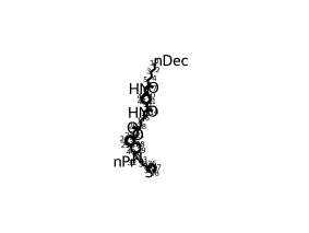 CCCCCCCCCCCCCCCC(=O)Nc1ccc(C(=O)NCCCC(=O)Oc2cccc3c2CC[C@H](N(CCC)CCc2cccs2)C3)cc1